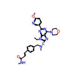 CCn1c(CN(C)Cc2ccc(/C=C/C(=O)NC)cc2)nc2c(N3CCOCC3)nc(-c3ccc(OC)nc3)nc21